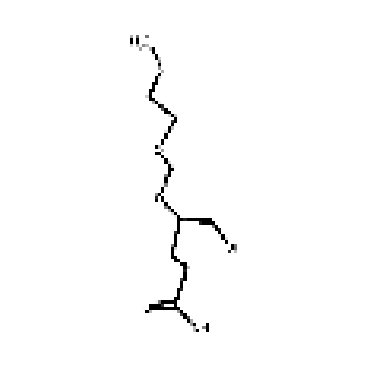 COCCOCO[C@@H](CBr)CCC([NH])=O